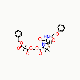 CC(C)(C(=O)OCOC(=O)[C@@H]1N2C(=O)C(NC(=O)COc3ccccc3)[C@H]2SC1(C)C)C(=O)OCc1ccccc1